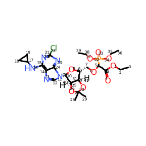 CCOC(=O)C(OC[C@H]1O[C@@H](n2cnc3c(NC4CC4)nc(Cl)nc32)[C@@H]2OC(C)(C)O[C@@H]21)P(=O)(OCC)OCC